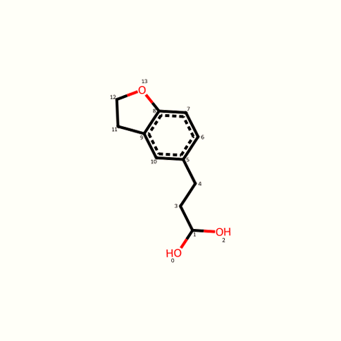 OC(O)CCc1ccc2c(c1)CCO2